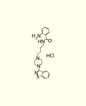 Cl.Nc1ccccc1C(=O)NCCCCN1CCN(c2nsc3ccccc23)CC1